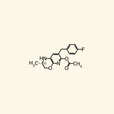 CC(=O)Oc1nc2c(cc1Cc1ccc(F)cc1)N[C@@H](C)CO2